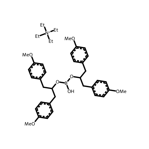 CC[N+](CC)(CC)CC.COc1ccc(CC(Cc2ccc(OC)cc2)OB(O)OC(Cc2ccc(OC)cc2)Cc2ccc(OC)cc2)cc1